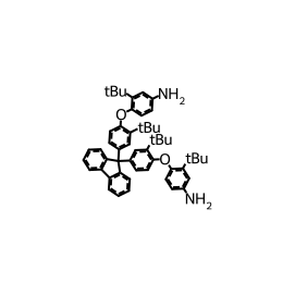 CC(C)(C)c1cc(N)ccc1Oc1ccc(C2(c3ccc(Oc4ccc(N)cc4C(C)(C)C)c(C(C)(C)C)c3)c3ccccc3-c3ccccc32)cc1C(C)(C)C